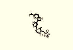 CCN1CCN(c2cc(-c3cnc4ccc(C(F)F)nn34)ncn2)C(C)C1CNS(C)(=O)=O